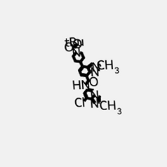 Cc1cn2cc(NC(=O)c3ccc(C4CCN(C(=O)OC(C)(C)C)CC4)c4cn(C)nc34)cc(Cl)c2n1